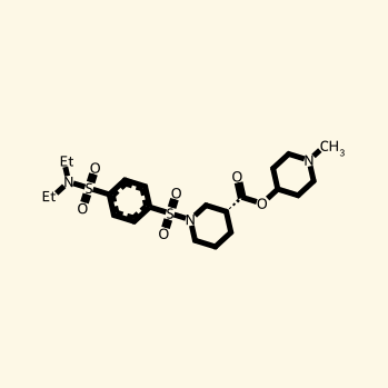 CCN(CC)S(=O)(=O)c1ccc(S(=O)(=O)N2CCC[C@@H](C(=O)OC3CCN(C)CC3)C2)cc1